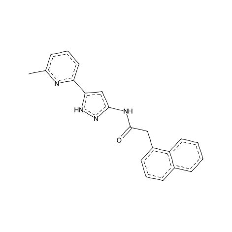 Cc1cccc(-c2cc(NC(=O)Cc3cccc4ccccc34)n[nH]2)n1